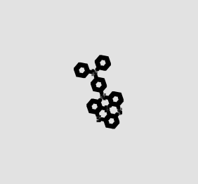 c1ccc(N(c2ccccc2)c2ccc(N3c4cccc5c4B4c6c(cccc6Sc6cccc3c64)S5)cc2)cc1